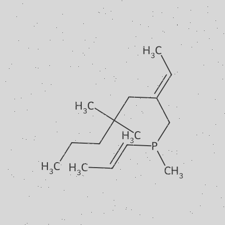 CC=CP(C)C/C(=C/C)CC(C)(C)CCC